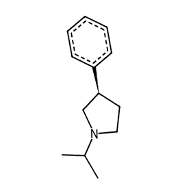 CC(C)N1CC[C@H](c2ccccc2)C1